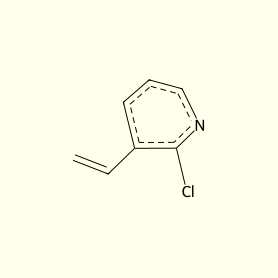 C=Cc1cccnc1Cl